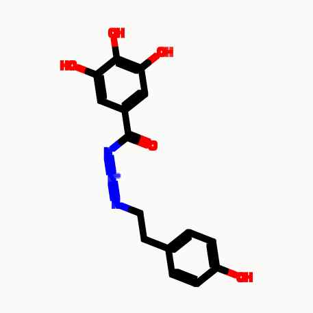 O=C(N=[N+]=NCCc1ccc(O)cc1)c1cc(O)c(O)c(O)c1